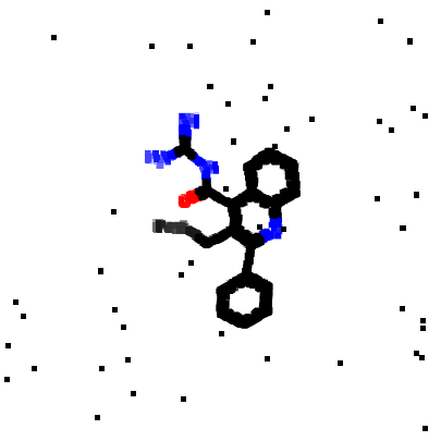 CCCC(C)Cc1c(-c2ccccc2)nc2ccccc2c1C(=O)NC(=N)N